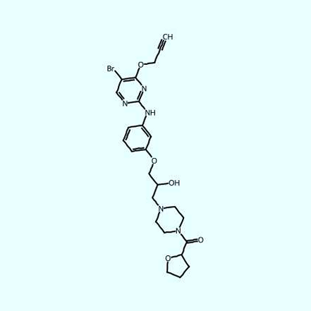 C#CCOc1nc(Nc2cccc(OCC(O)CN3CCN(C(=O)C4CCCO4)CC3)c2)ncc1Br